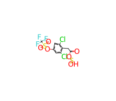 O=C(Cc1c(Cl)cc(OS(=O)(=O)C(F)(F)F)cc1Cl)OSO